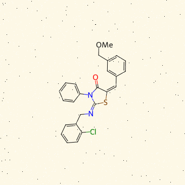 COCc1cccc(C=C2SC(=NCc3ccccc3Cl)N(c3ccccc3)C2=O)c1